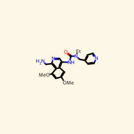 CCN(Cc1ccncc1)C(=O)Nc1cnc(CN)c2c(OC)cc(OC)cc12